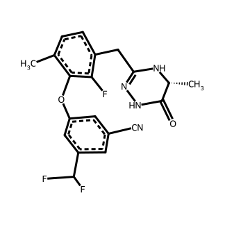 Cc1ccc(CC2=NNC(=O)[C@@H](C)N2)c(F)c1Oc1cc(C#N)cc(C(F)F)c1